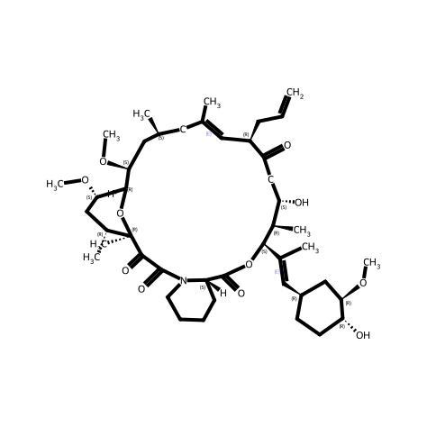 C=CC[C@@H]1/C=C(\C)C[C@H](C)C[C@H](OC)[C@H]2O[C@@](C)(C(=O)C(=O)N3CCCC[C@H]3C(=O)O[C@H](/C(C)=C/[C@@H]3CC[C@@H](O)[C@H](OC)C3)[C@H](C)[C@@H](O)CC1=O)[C@H](C)C[C@@H]2OC